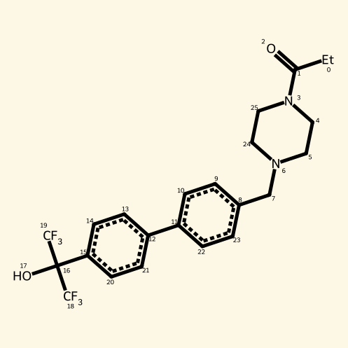 CCC(=O)N1CCN(Cc2ccc(-c3ccc(C(O)(C(F)(F)F)C(F)(F)F)cc3)cc2)CC1